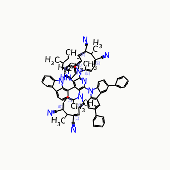 CCC(C)/C=C(\C)Nc1c(N2/C(C)=C/C=C(/C#N)C(C)/C(C#N)=C\C=C\2C)nc(-n2c3ccc(-c4ccccc4)cc3c3cc(-c4ccccc4)ccc32)c(N2/C(C)=C/C=C(/C#N)C(C)/C(C#N)=C\C=C\2C)c1-c1cccc2c3ccccc3n(-c3ccccc3)c12